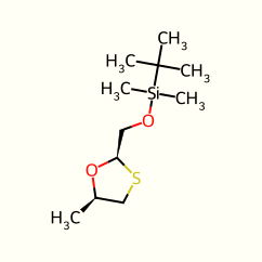 C[C@@H]1CS[C@H](CO[Si](C)(C)C(C)(C)C)O1